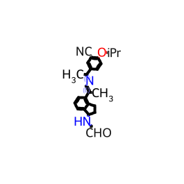 C/C(=C\N=C(/C)c1ccc(OC(C)C)c(C#N)c1)c1cccc2c1CCC2NCC=O